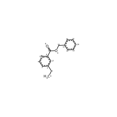 CCc1ccnc(C(=O)OCc2ccccc2)c1